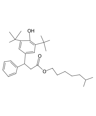 CC(C)CCCCCOC(=O)CC(c1ccccc1)c1cc(C(C)(C)C)c(O)c(C(C)(C)C)c1